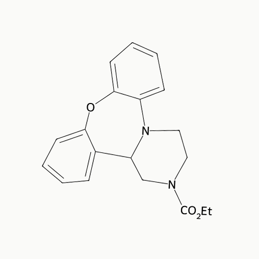 CCOC(=O)N1CCN2c3ccccc3Oc3ccccc3C2C1